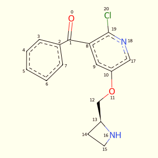 O=C(c1ccccc1)c1cc(OC[C@@H]2CCN2)cnc1Cl